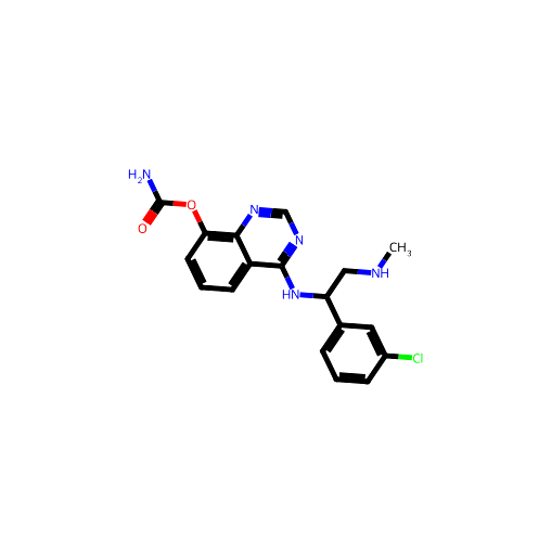 CNCC(Nc1ncnc2c(OC(N)=O)cccc12)c1cccc(Cl)c1